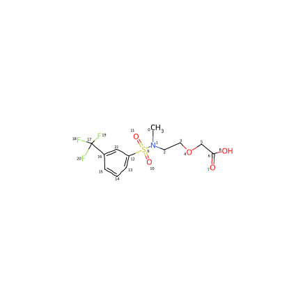 CN(CCOCC(=O)O)S(=O)(=O)c1cccc(C(F)(F)F)c1